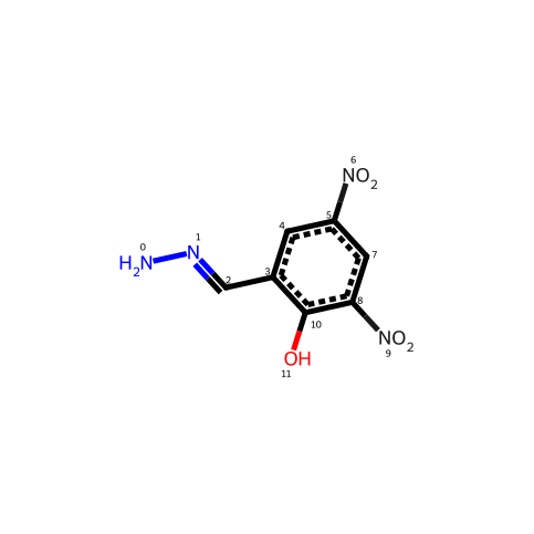 NN=Cc1cc([N+](=O)[O-])cc([N+](=O)[O-])c1O